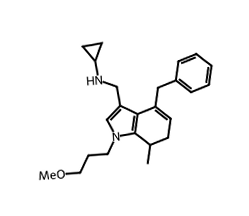 COCCCn1cc(CNC2CC2)c2c1C(C)CC=C2Cc1ccccc1